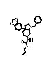 C=CCNC(=O)NC1CCC2(c3ccc4c(c3)OCO4)CCN(Cc3ccccc3)C2C1